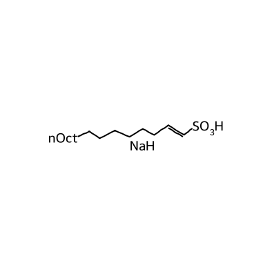 CCCCCCCCCCCCCCC=CS(=O)(=O)O.[NaH]